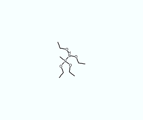 CCO[SiH](OCC)[Si](C)(OCC)OCC